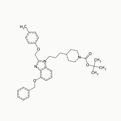 Cc1ccc(OCc2nc3c(OCc4ccccc4)cccc3n2CCCC2CCN(C(=O)OC(C)(C)C)CC2)cc1